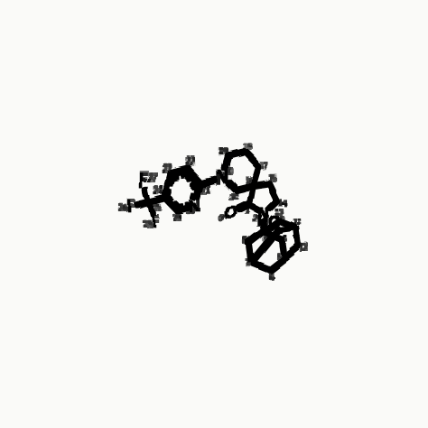 O=C1N(C23CC4CC(C2)C(O)C(C4)C3)CCC12CCCN(c1ccc(C(F)(F)F)cn1)C2